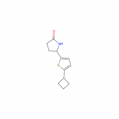 O=C1CCC(c2ccc(C3CCC3)s2)N1